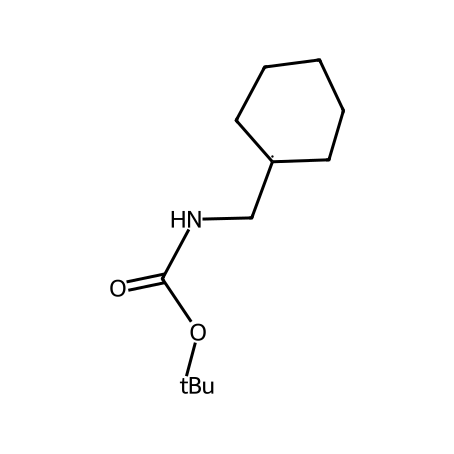 CC(C)(C)OC(=O)NC[C]1CCCCC1